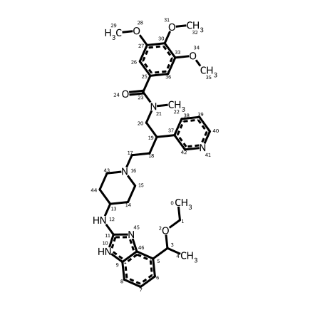 CCOC(C)c1cccc2[nH]c(NC3CCN(CCC(CN(C)C(=O)c4cc(OC)c(OC)c(OC)c4)c4cccnc4)CC3)nc12